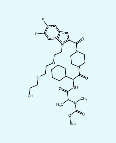 CC(C(=O)NC(C(=O)N1CCN(C(=O)c2cc3cc(F)c(F)cc3n2CCOCCOCCO)CC1)C1CCCCC1)N(C)C(=O)OC(C)(C)C